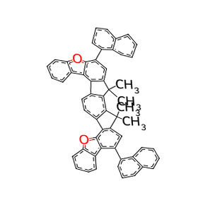 CC1(C)c2cc(-c3cccc4ccccc34)c3c(oc4ccccc43)c2-c2ccc3c(c21)C(C)(C)c1cc(-c2cccc4ccccc24)c2oc4ccccc4c2c1-3